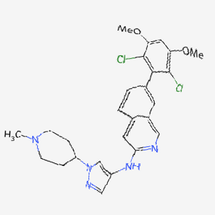 COc1cc(OC)c(Cl)c(-c2ccc3cc(Nc4cnn(C5CCN(C)CC5)c4)ncc3c2)c1Cl